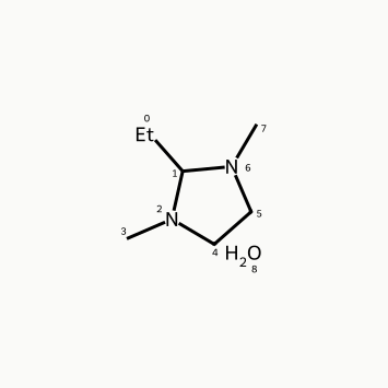 CCC1N(C)CCN1C.O